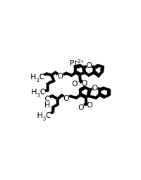 CCCCC(CC)COCCc1ccc2c(c1C(=O)[O-])Cc1ccccc1O2.CCCCC(CC)COCCc1ccc2c(c1C(=O)[O-])Cc1ccccc1O2.[Pt+2]